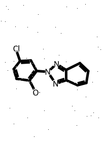 [O]c1ccc(Cl)cc1-n1nc2ccccc2n1